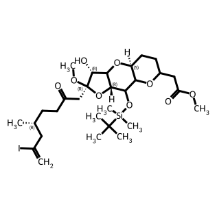 C=C(I)C[C@H](C)CCC(=O)C[C@@]1(OC)O[C@H]2C(O[Si](C)(C)C(C)(C)C)C3OC(CC(=O)OC)CC[C@@H]3OC2[C@H]1O